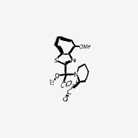 CCOC(C(=O)O)(c1nc2c(OC)cccc2s1)N1CCCCC1=C=O